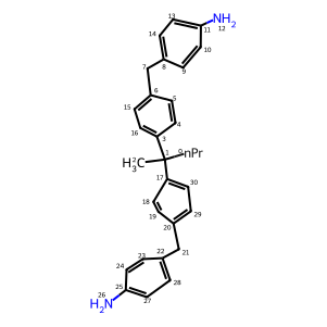 CCCC(C)(c1ccc(Cc2ccc(N)cc2)cc1)c1ccc(Cc2ccc(N)cc2)cc1